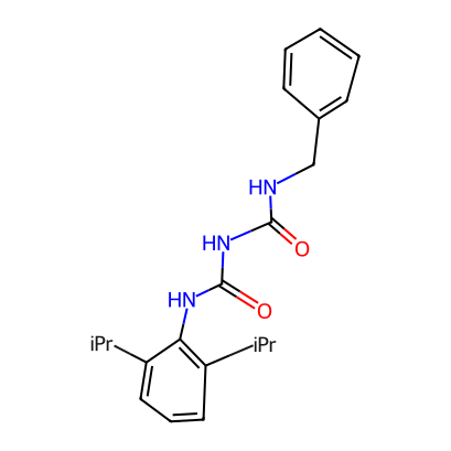 CC(C)c1cccc(C(C)C)c1NC(=O)NC(=O)NCc1ccccc1